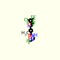 Cc1cc(C2=NOC(c3cc(C(F)(F)F)cc(Cl)c3F)(C(F)(F)F)C2)ccc1C(=O)NN1CCN(CC(F)(F)F)C1=O